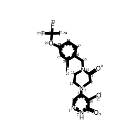 O=C1CN(c2cn[nH]c(=O)c2Cl)CCN1Cc1ccc(OC(F)(F)F)cc1F